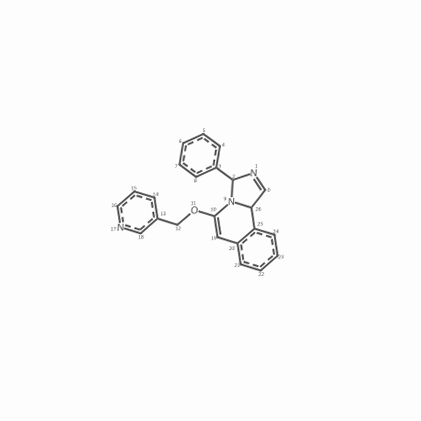 C1=NC(c2ccccc2)N2C(OCc3cccnc3)=Cc3ccccc3C12